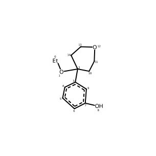 CCOC1(c2cccc(O)c2)CCOCC1